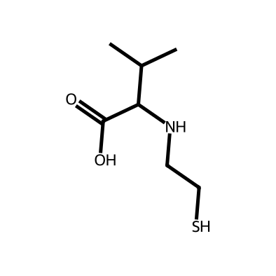 CC(C)C(NCCS)C(=O)O